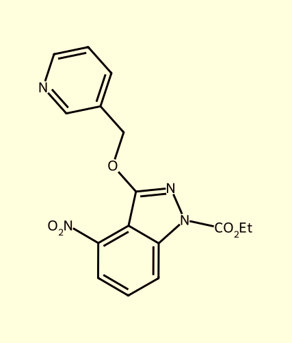 CCOC(=O)n1nc(OCc2cccnc2)c2c([N+](=O)[O-])cccc21